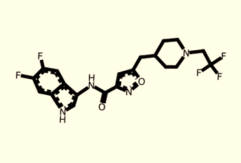 O=C(Nc1c[nH]c2cc(F)c(F)cc12)c1cc(CC2CCN(CC(F)(F)F)CC2)on1